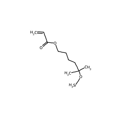 C=CC(=O)OCCCCC(C)(C)O[SiH3]